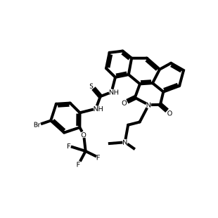 CN(C)CCN1C(=O)c2cccc3cc4cccc(NC(=S)Nc5ccc(Br)cc5OC(F)(F)F)c4c(c23)C1=O